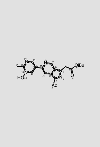 CC(=O)c1nn(CC(=O)OCC(C)C)c2cnc(-c3cnc(C)[n+](O)c3)cc12